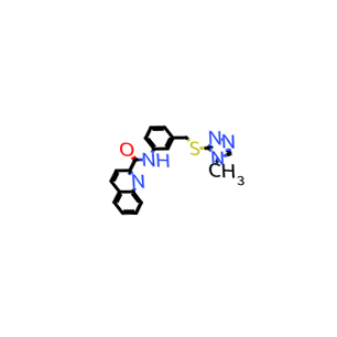 Cn1cnnc1SCc1cccc(NC(=O)c2ccc3ccccc3n2)c1